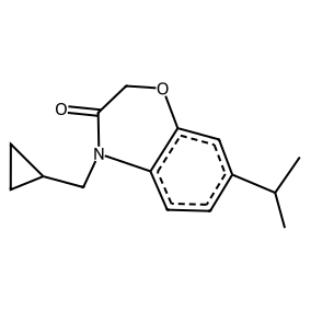 CC(C)c1ccc2c(c1)OCC(=O)N2CC1CC1